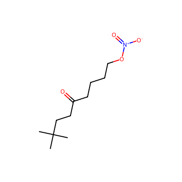 CC(C)(C)CCC(=O)CCCCO[N+](=O)[O-]